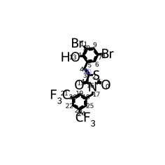 O=C1S/C(=C\c2cc(Br)cc(Br)c2O)C(=O)N1Cc1cc(C(F)(F)F)cc(C(F)(F)F)c1